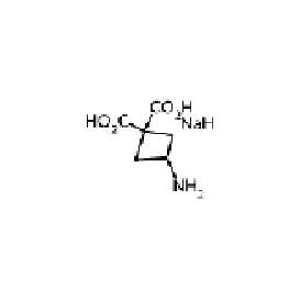 NC1CC(C(=O)O)(C(=O)O)C1.[NaH]